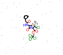 CC1(CCl)SC2C(NC(=O)Cc3ccccc3)C(=O)N2C1C(=O)OCC(Cl)(Cl)Cl